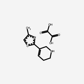 Cc1coc(C2=CCCNC2)n1.O=C(O)C(=O)O